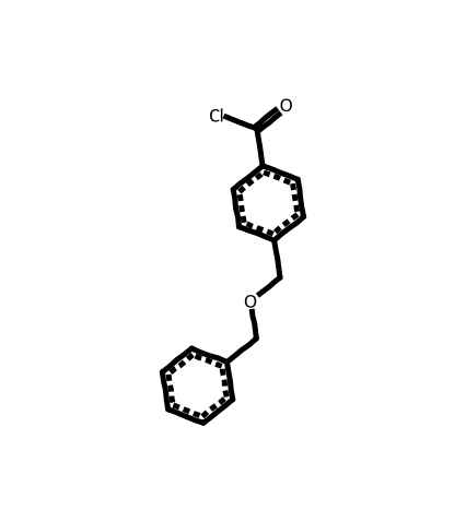 O=C(Cl)c1ccc(COCc2ccccc2)cc1